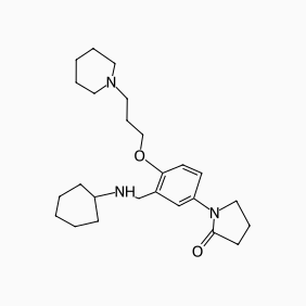 O=C1CCCN1c1ccc(OCCCN2CCCCC2)c(CNC2CCCCC2)c1